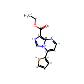 CCOC(=O)c1ncn2c(-c3cccs3)ccnc12